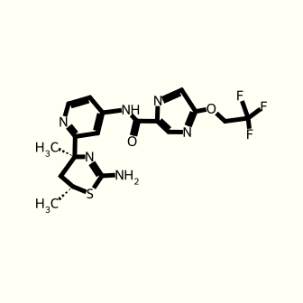 C[C@@H]1C[C@@](C)(c2cc(NC(=O)c3cnc(OCC(F)(F)F)cn3)ccn2)N=C(N)S1